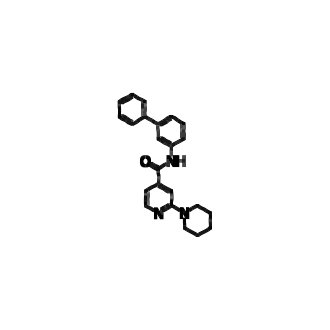 O=C(Nc1cccc(-c2ccccc2)c1)c1ccnc(N2CCCCC2)c1